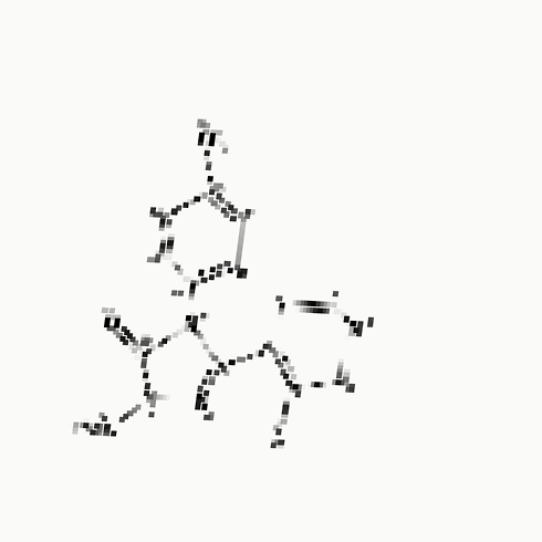 CCCCCn1nc(-c2ccncc2Cl)n(-c2ccc(C(F)(F)F)cc2)c1=O